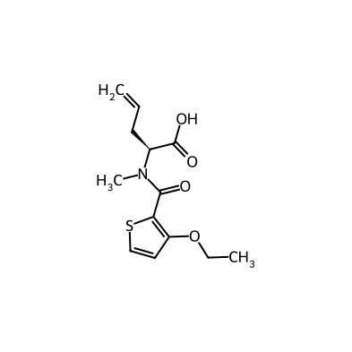 C=CC[C@@H](C(=O)O)N(C)C(=O)c1sccc1OCC